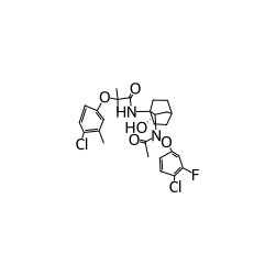 CC(=O)N(Oc1ccc(Cl)c(F)c1)[C@]1(O)CC2CCC1(NC(=O)C(C)(C)Oc1ccc(Cl)c(C)c1)CC2